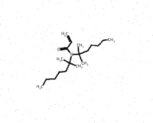 C=CC(=O)N(C(C)(C)CCCCC)C(C)(C)CCCCC